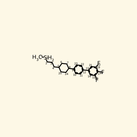 C[SiH2]CCCC1CCC(c2ccc(-c3cc(F)c(F)c(F)c3)cc2)CC1